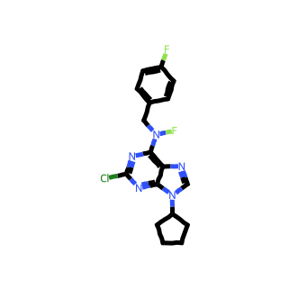 Fc1ccc(CN(F)c2nc(Cl)nc3c2ncn3C2CCCC2)cc1